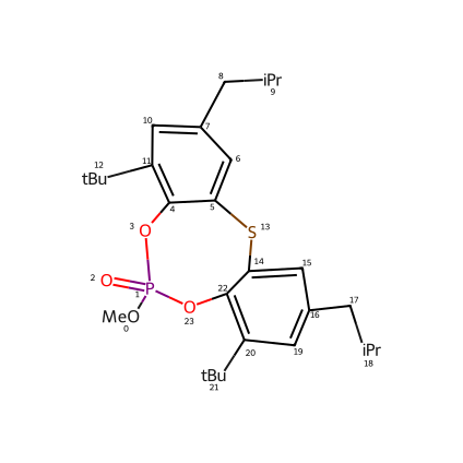 COP1(=O)Oc2c(cc(CC(C)C)cc2C(C)(C)C)Sc2cc(CC(C)C)cc(C(C)(C)C)c2O1